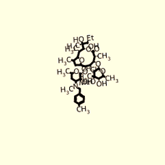 CC[C@@H](O)[C@@](C)(O)[C@@H]1OC(=O)[C@H](C)[C@@H](O[C@H]2CC(C)(OC)[C@@H](O)C(C)O2)[C@H](C)[C@@H](O[C@@H]2OC(C)CC(N(C)Cc3ccc(C)cc3)C2O)[C@@]2(C)CC(C)C(O2)[C@@H]1C